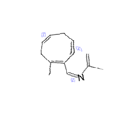 C=C(C)/N=C\C1=C(C)C/C=C\C/C=C\1